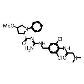 CO[C@@H]1C[C@@H](C(=O)/N=C(\N)NCc2cc(Cl)c(NC(=O)CN(C)C)c(Cl)c2)N(c2ccccc2)C1